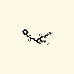 Nc1ncc(/C=C/C(=O)OCc2ccccc2)cc1C(=O)NCCO